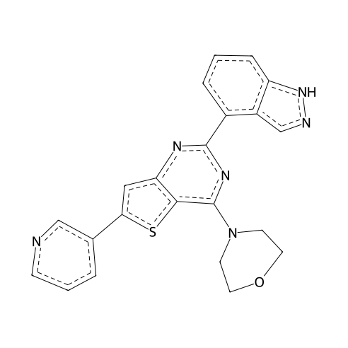 c1cncc(-c2cc3nc(-c4cccc5[nH]ncc45)nc(N4CCOCC4)c3s2)c1